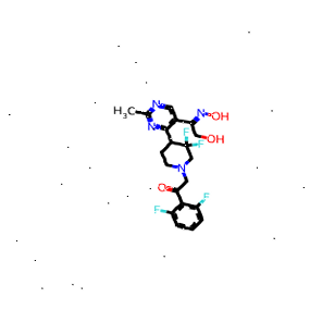 Cc1ncc(C(CO)=NO)c(C2CCN(CC(=O)c3c(F)cccc3F)CC2(F)F)n1